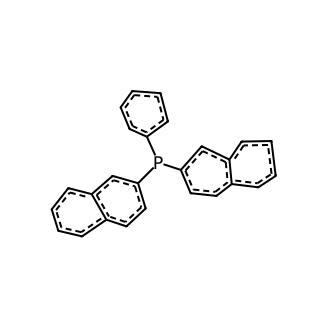 c1ccc(P(c2ccc3ccccc3c2)c2ccc3ccccc3c2)cc1